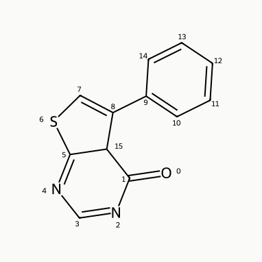 O=C1N=CN=C2SC=C(c3ccccc3)C12